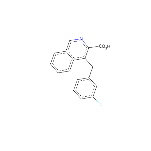 O=C(O)c1ncc2ccccc2c1Cc1cccc(F)c1